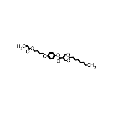 C=CC(=O)OCCCCOc1ccc(OC(=O)C2COC(CCCCCCC)OC2)cc1